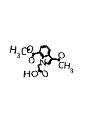 COC(=O)c1cccc2c(C(C)=O)cn(CC(=O)O)c12